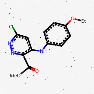 CCOc1ccc(Nc2cc(Cl)nnc2C(=O)OC)cc1